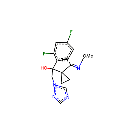 CCCC(=NOC)C1(C(O)(Cn2cncn2)c2ccc(F)cc2F)CC1